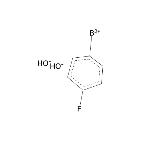 [B+2]c1ccc(F)cc1.[OH-].[OH-]